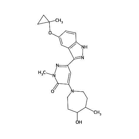 CC1CCN(c2cc(-c3n[nH]c4ccc(OC5(C)CC5)cc34)nn(C)c2=O)CCC1O